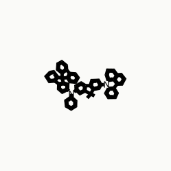 CC1(C)c2cc(N(c3ccccc3)c3ccc4c(c3)C3(c5ccccc5-c5ccccc53)c3ccccc3-4)ccc2-c2ccc(N3c4ccccc4-c4cccc5cccc3c45)cc21